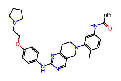 CCCC(=O)Nc1ccc(C)c(N2CCc3nc(Nc4ccc(OCCN5CCCC5)cc4)ncc3C2)c1